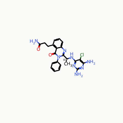 C[C@H](Nc1nc(N)nc(N)c1Cl)c1nc2cccc(CCC(N)=O)c2c(=O)n1-c1ccccc1